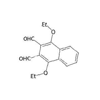 CCOc1c(C=O)c(C=O)c(OCC)c2ccccc12